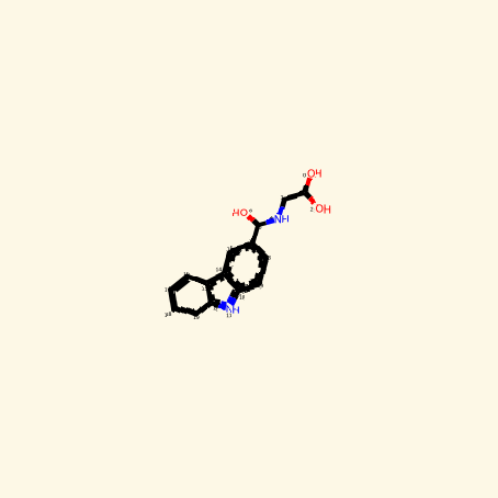 OC(O)CNC(O)c1ccc2[nH]c3c(c2c1)C=CCC3